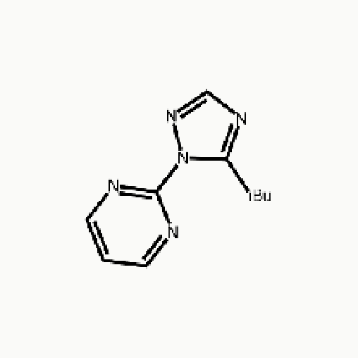 CCC(C)c1ncnn1-c1ncccn1